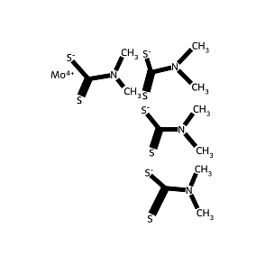 CN(C)C(=S)[S-].CN(C)C(=S)[S-].CN(C)C(=S)[S-].CN(C)C(=S)[S-].[Mo+4]